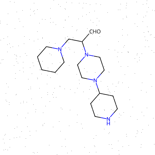 O=CC(CN1CC[CH]CC1)N1CCN(C2CCNCC2)CC1